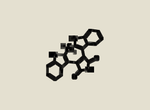 Cc1[nH]c2ccccc2c1C1=C(c2c(C)[nH]c3ccccc23)C(=O)NC1=O